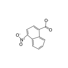 [O]C(=O)c1ccc([N+](=O)[O-])c2ccccc12